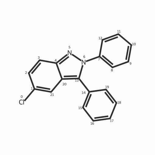 Clc1ccc2nn(-c3ccccc3)c(-c3ccccc3)c2c1